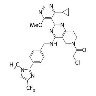 COc1ncnc(C2CC2)c1-c1nc2c(c(NCc3ccc(-c4nc(C(F)(F)F)cn4C)cc3)n1)CN(C(=O)CCl)CC2